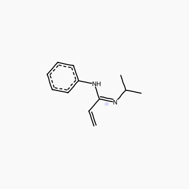 C=C/C(=N/C(C)C)Nc1ccccc1